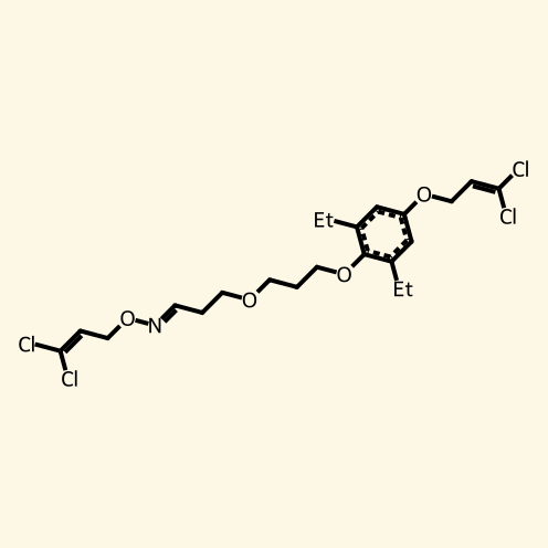 CCc1cc(OCC=C(Cl)Cl)cc(CC)c1OCCCOCCC=NOCC=C(Cl)Cl